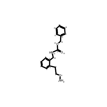 NOCCc1ccccc1CNC(=O)OCc1ccccc1